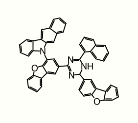 c1ccc2cc3c(cc2c1)c1ccccc1n3-c1cc(C2=NC(c3ccc4oc5ccccc5c4c3)NC(c3cccc4ccccc34)=N2)cc2c1oc1ccccc12